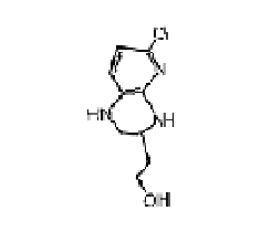 OCCC1CNc2ccc(Cl)nc2N1